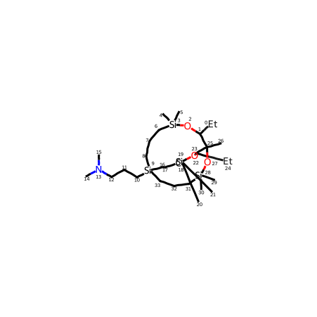 CCC1O[Si](C)(C)CCC[Si]2(CCCN(C)C)CCC[Si](C)(C)OC(CC)C1(C)O[Si](C)(C)CCC2